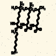 CC(C)CCCCCC(S)C(=O)[O-].CC(C)CCCCCC(S)C(=O)[O-].CC(C)CCCCCC(S)C(=O)[O-].CCCCCCC[CH2][Sn+3]